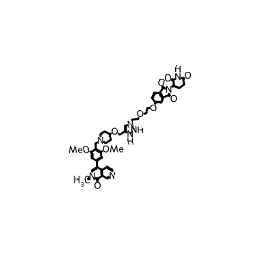 COc1cc(-c2cn(C)c(=O)c3cnccc23)cc(OC)c1CN1CCC(OCC2=CN(CCOCCOc3ccc4c(c3)C(=O)N(C3CCC(=O)NC3=O)C4=O)NN2)CC1